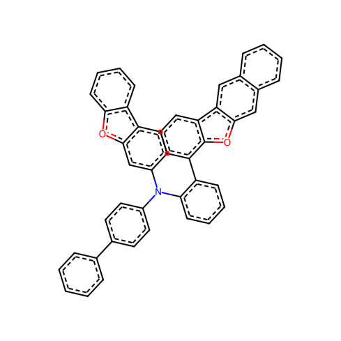 c1ccc(-c2ccc(N(c3ccc4c(c3)oc3ccccc34)c3ccccc3-c3cccc4c3oc3cc5ccccc5cc34)cc2)cc1